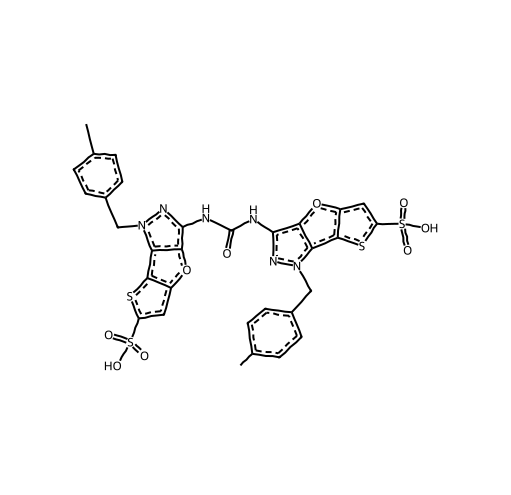 Cc1ccc(Cn2nc(NC(=O)Nc3nn(Cc4ccc(C)cc4)c4c3oc3cc(S(=O)(=O)O)sc34)c3oc4cc(S(=O)(=O)O)sc4c32)cc1